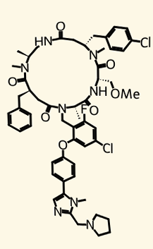 COC[C@@H]1NC(=O)[C@H](C)N(Cc2c(F)cc(Cl)cc2Oc2ccc(-c3cnc(CN4CCCC4)n3C)cc2)C(=O)C[C@@H](Cc2ccccc2)C(=O)N(C)[C@@H](C)CNC(=O)C[C@H](Cc2ccc(Cl)cc2)N(C)C1=O